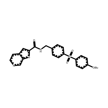 CC(C)COc1ccc(S(=O)(=O)c2ccc(CNC(=O)c3cc4ccncc4s3)cc2)cc1